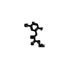 CCCCOC(=O)NCc1cc(Cl)ncc1F